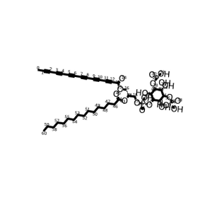 CC#CC#CC#CC#CC#CC#CC(=O)OC[C@H](COP(=O)(O)OC1C(O)[C@H](OP(=O)(O)O)[C@H](O)C(OP(=O)(O)O)[C@@H]1O)OC(=O)CCCCCCCCCCCCCCC